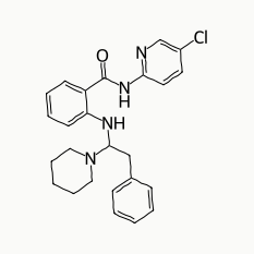 O=C(Nc1ccc(Cl)cn1)c1ccccc1NC(Cc1ccccc1)N1CCCCC1